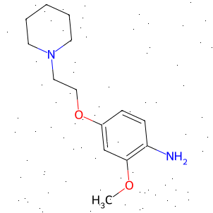 COc1cc(OCCN2CCCCC2)ccc1N